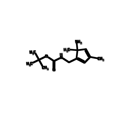 CC1=CC(C)(N)C(CNC(=O)OC(C)(C)C)=C1